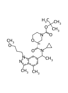 COCCCn1nc(C)c2c(C)cc(C(C)N(C(=O)[C@H]3CN(C(=O)OC(C)(C)C)CCO3)C3CC3)cc21